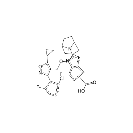 O=C(O)c1cc(F)c2nc(N3C4CCC3CC(F)(COCc3c(-c5c(F)cccc5Cl)noc3C3CC3)C4)sc2c1